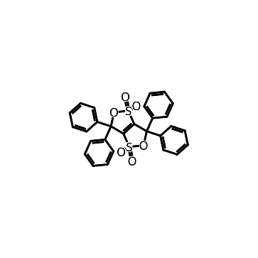 O=S1(=O)OC(c2ccccc2)(c2ccccc2)C2=C1C(c1ccccc1)(c1ccccc1)OS2(=O)=O